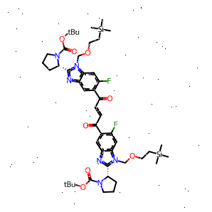 CC(C)(C)OC(=O)N1CCC[C@H]1c1nc2cc(C(=O)/C=C/C(=O)c3cc4nc([C@@H]5CCCN5C(=O)OC(C)(C)C)n(COCC[Si](C)(C)C)c4cc3F)c(F)cc2n1COCC[Si](C)(C)C